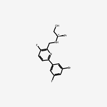 CC(C)[C@H](CO)NCc1nc(-c2cc(F)cc(Br)c2)ccc1F